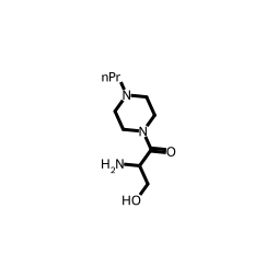 CCCN1CCN(C(=O)C(N)CO)CC1